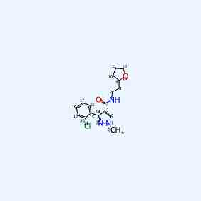 Cn1cc(C(=O)NCCC2CCCO2)c(-c2ccccc2Cl)n1